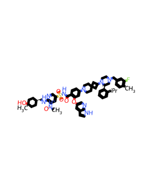 Cc1ccc(CN2CCN(C3CC4(CCN(c5ccc(C(=O)NS(=O)(=O)c6cnc(NC[C@H]7CC[C@](C)(O)CC7)c([NH+](C)[O-])c6)c(Oc6cnc7[nH]ccc7c6)c5)CC4)C3)[C@H](c3ccccc3C(C)C)C2)cc1F